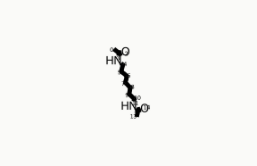 CC(=O)NCCCCCCCNC(C)=O